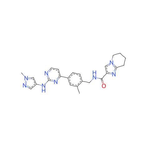 Cc1cc(-c2ccnc(Nc3cnn(C)c3)n2)ccc1CNC(=O)c1cn2c(n1)CCCC2